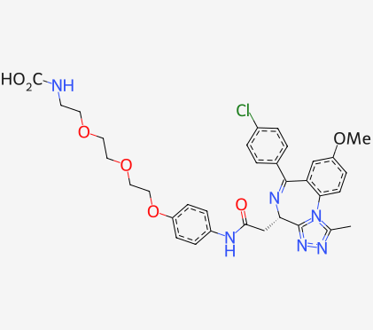 COc1ccc2c(c1)C(c1ccc(Cl)cc1)=N[C@@H](CC(=O)Nc1ccc(OCCOCCOCCNC(=O)O)cc1)c1nnc(C)n1-2